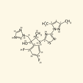 Cc1cc(C)n(-c2nsc(S[C@H](C)C(O)(Cn3cncn3)c3ccc(F)cc3F)n2)n1